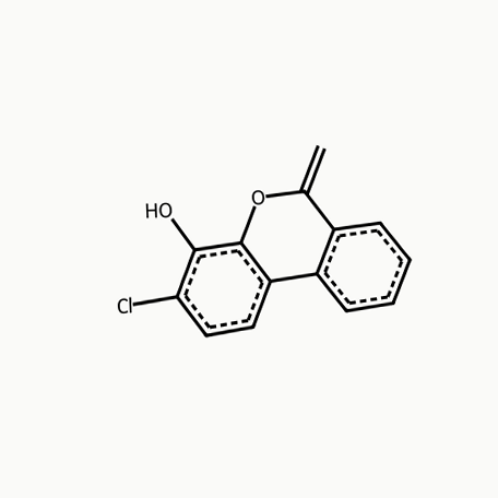 C=C1Oc2c(ccc(Cl)c2O)-c2ccccc21